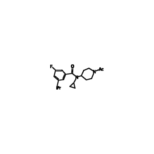 CC(=O)N1CCC(N(C(=O)c2cc(F)cc(C(C)C)c2)C2CC2)CC1